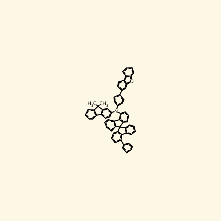 CC1(C)c2ccccc2-c2ccc(N(c3ccc(-c4ccc5c(c4)oc4ccccc45)cc3)c3cccc4c3-c3ccccc3C43c4ccccc4-c4c(-c5ccccc5)cccc43)cc21